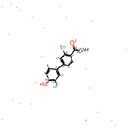 COC(=O)c1ccc(-c2ccc(O)c(F)c2)cc1F